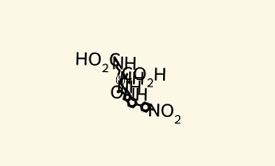 O=C(O)NCCC[C@@H](CNC(=O)c1cc2ccc(-c3ccc([N+](=O)[O-])cc3)cc2[nH]1)NC(=O)O